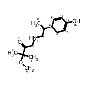 COC(C)(C)C(=O)CNCC(C)[C@H]1C=CC(O)=CC1